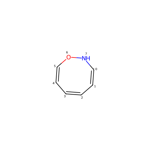 [c]1ccccco[nH]1